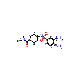 CC(C)N(C)C(=O)C1CCC(NS(=O)(=O)c2ccc(N)c(N)c2)CC1